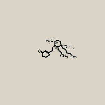 CCC[C@H]1[C@H](CCC2=CC(=O)CCC2)[C@@H](C)CCC1(CC)CCCCO